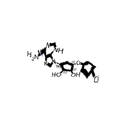 N/N=c1/nc[nH]c2c1ncn2[C@@H]1C[C@H](Oc2ccc(Cl)cc2)[C@@H](O)[C@H]1O